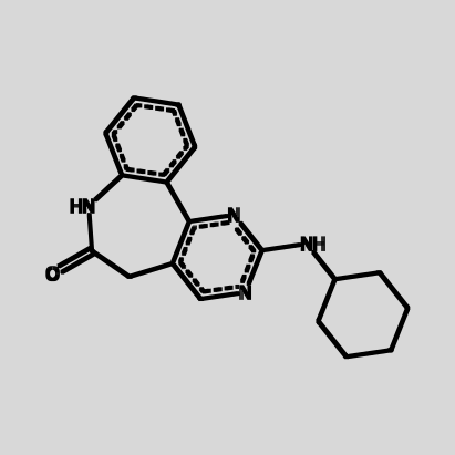 O=C1Cc2cnc(NC3CCCCC3)nc2-c2ccccc2N1